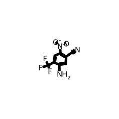 N#Cc1cc(N)c(C(F)(F)F)cc1[N+](=O)[O-]